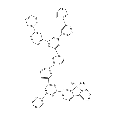 CC1(C)c2ccccc2-c2ccc(-c3nc(-c4ccccc4)cc(-c4cccc(-c5cccc(-c6nc(-c7cccc(-c8ccccc8)c7)nc(-c7cccc(-c8ccccc8)c7)n6)c5)c4)n3)cc21